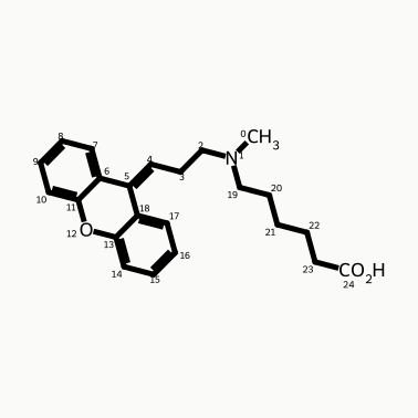 CN(CCC=C1c2ccccc2Oc2ccccc21)CCCCCC(=O)O